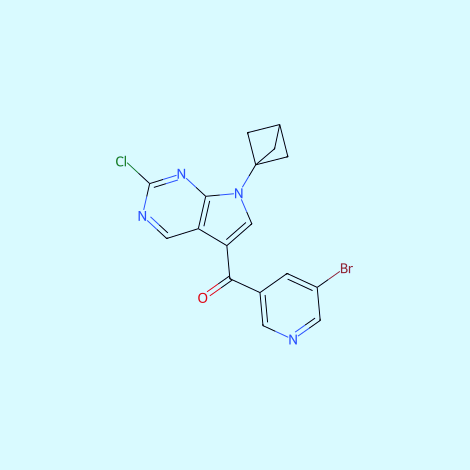 O=C(c1cncc(Br)c1)c1cn(C23CC(C2)C3)c2nc(Cl)ncc12